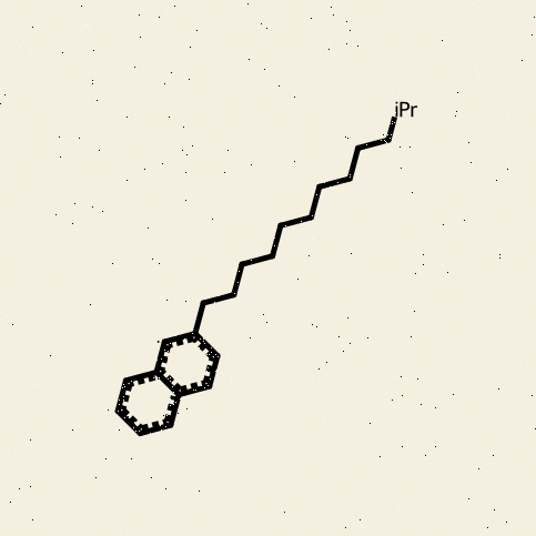 CC(C)CCCCCCCCCCc1[c]c2ccccc2cc1